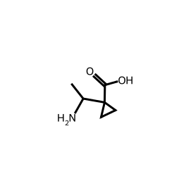 CC(N)C1(C(=O)O)CC1